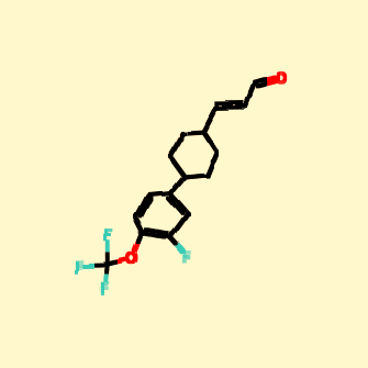 O=CC=CC1CCC(c2ccc(OC(F)(F)F)c(F)c2)CC1